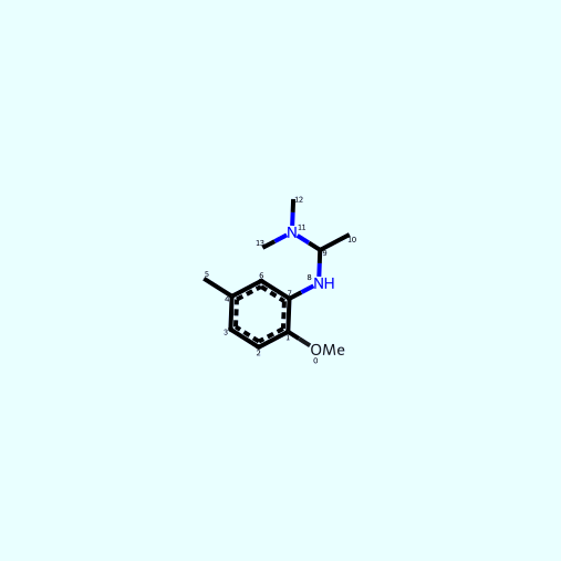 COc1ccc(C)cc1NC(C)N(C)C